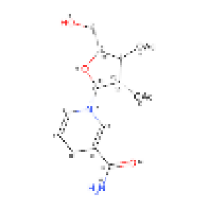 CC(=O)OC1[C@@H](CO)O[C@@H](N2C=CCC(C(N)=O)=C2)[C@H]1OC(C)=O